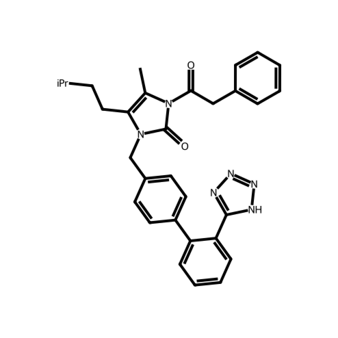 Cc1c(CCC(C)C)n(Cc2ccc(-c3ccccc3-c3nnn[nH]3)cc2)c(=O)n1C(=O)Cc1ccccc1